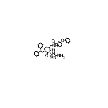 CCC(NC(=N)N)[C@@H]1N[C@H](CNC(=O)c2cccc(Oc3ccccc3)c2)CCN(CC(c2ccccc2)c2ccccc2)C1=O